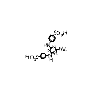 CC(C)(C)c1nc(Nc2ccc(S(=O)(=O)O)cc2)nc(Nc2ccc(S(=O)(=O)O)cc2)n1